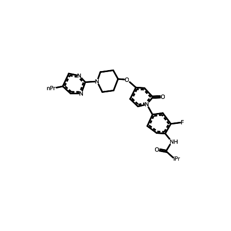 CCCc1cnc(N2CCC(Oc3ccn(-c4ccc(NC(=O)C(C)C)c(F)c4)c(=O)c3)CC2)nc1